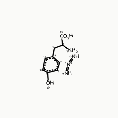 N=[N+]=N.NC(Cc1ccc(O)cc1)C(=O)O